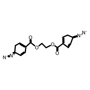 [N-]=[N+]=C1C=CC(C(=O)OCCOC(=O)C2=CCC(=[N+]=[N-])C=C2)=CC1